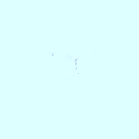 N.O=C(O)PP